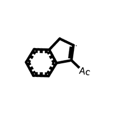 CC(=O)C1=[C]Cc2ccccc21